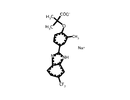 Cc1cc(-c2nc3ccc(C(F)(F)F)cc3[nH]2)ccc1OC(C)(C)C(=O)[O-].[Na+]